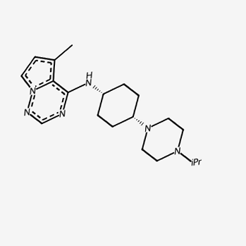 Cc1ccn2ncnc(N[C@H]3CC[C@@H](N4CCN(C(C)C)CC4)CC3)c12